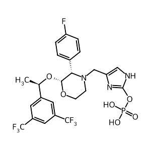 C[C@@H](O[C@H]1OCCN(Cc2c[nH]c(OP(=O)(O)O)n2)[C@H]1c1ccc(F)cc1)c1cc(C(F)(F)F)cc(C(F)(F)F)c1